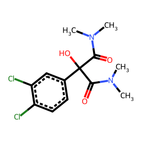 CN(C)C(=O)C(O)(C(=O)N(C)C)c1ccc(Cl)c(Cl)c1